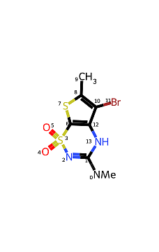 CNC1=NS(=O)(=O)c2sc(C)c(Br)c2N1